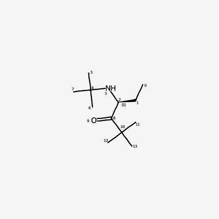 CC[C@H](NC(C)(C)C)C(=O)C(C)(C)C